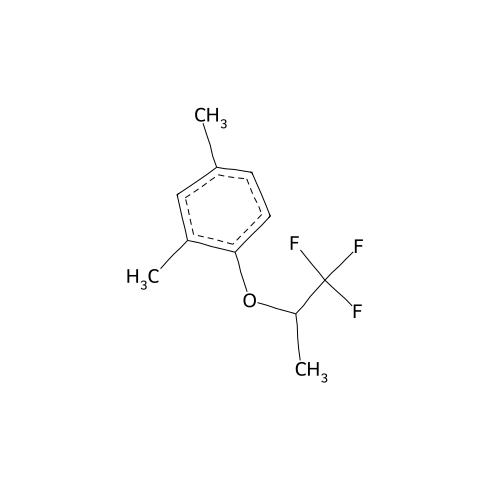 Cc1ccc(OC(C)C(F)(F)F)c(C)c1